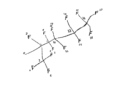 CC(F)(C(F)(F)F)C(F)(F)C(F)(F)C(F)(F)C(F)(F)F